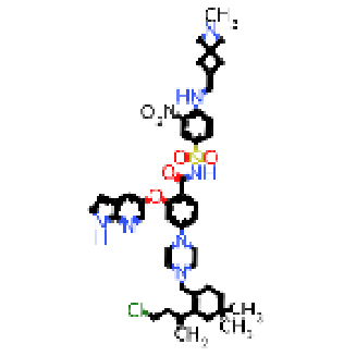 C=C(CCCl)C1=C(CN2CCN(c3ccc(C(=O)NS(=O)(=O)c4ccc(NCC5CC6(C5)CN(C)C6)c([N+](=O)[O-])c4)c(Oc4cnc5[nH]ccc5c4)c3)CC2)CCC(C)(C)C1